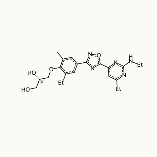 CCNc1nc(CC)cc(-c2nc(-c3cc(C)c(OC[C@@H](O)CO)c(CC)c3)no2)n1